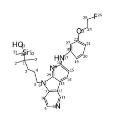 CC(C)(CCCn1c2ccncc2c2ccc(Nc3cccc(OCCF)c3)nc21)[Si](C)(C)O